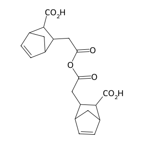 O=C(CC1C2C=CC(C2)C1C(=O)O)OC(=O)CC1C2C=CC(C2)C1C(=O)O